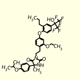 CCCc1cc(C(O)(C(F)(F)F)C(F)(F)F)ccc1Oc1ccc(CCN2C(=O)NC(C)(c3ccc(OC(C)C)cc3)C2=O)c(OCC)c1